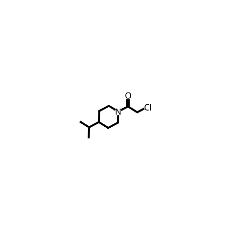 CC(C)C1CCN(C(=O)CCl)CC1